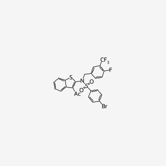 CC(=O)c1c(N(Cc2ccc(F)c(C(F)(F)F)c2)S(=O)(=O)c2ccc(Br)cc2)sc2ccccc12